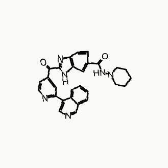 O=C(NN1CCCCC1)c1ccc2nc(C(=O)c3ccnc(-c4cncc5ccccc45)c3)[nH]c2c1